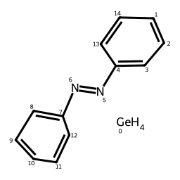 [GeH4].c1ccc(N=Nc2ccccc2)cc1